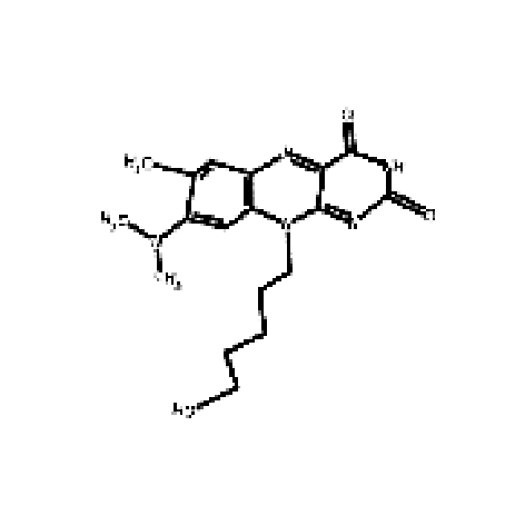 Cc1cc2nc3c(=O)[nH]c(=O)nc-3n(CCCCCO)c2cc1N(C)C